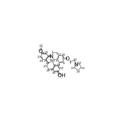 CCN(Cc1ccc(OCCN2CCCC2)cc1)c1cc(OC)ccc1C1CCc2cc(O)ccc2C1